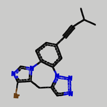 CC(C)C#Cc1ccc2c(c1)-n1nncc1Cc1c(Br)ncn1-2